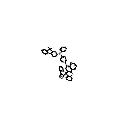 CC1(C)c2ccccc2-c2ccc(N(c3ccccc3)c3ccc(-c4cc5c(c6ccccc46)Sc4ccccc4C54c5ccccc5-c5ccccc54)cc3)cc21